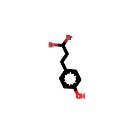 Oc1ccc(CCC(Br)Br)cc1